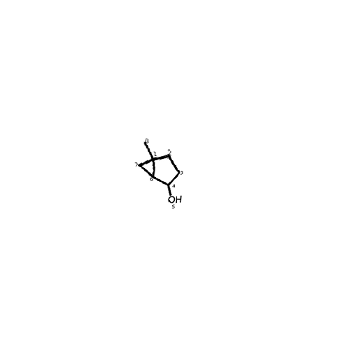 CC12CCC(O)C1C2